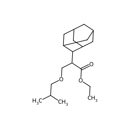 CCOC(=O)C(COCC(C)C)C1C2CC3CC(C2)CC1C3